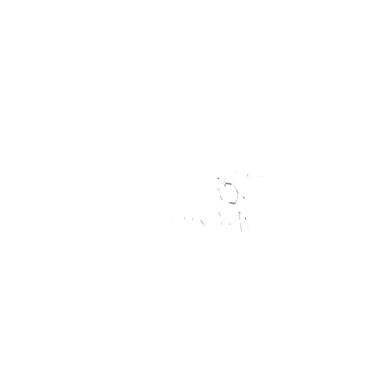 CCOC(=O)CC(=O)c1cnc(SC)nc1NC1CCCC1